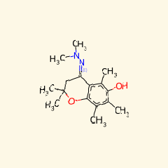 Cc1c(C)c2c(c(C)c1O)/C(=N/N(C)C)CC(C)(C)O2